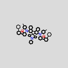 Cc1ccc(N(c2cc3c(c4ccccc24)-c2c(cc(N(c4ccc(C)cc4)c4cccc5c4oc4c(C6CCCCC6)cccc45)c4ccccc24)C32c3ccccc3N(c3ccccc3)c3ccccc32)c2cccc3c2oc2c(C4CCCCC4)cccc23)cc1